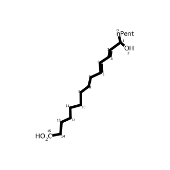 CCCCCC(O)C=CC=CCCCCCCCCC(=O)O